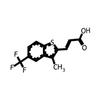 Cc1c(C=CC(=O)O)sc2ccc(C(F)(F)F)cc12